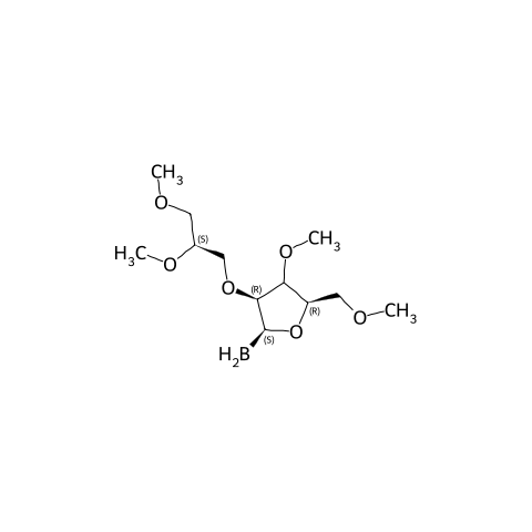 B[C@@H]1O[C@H](COC)C(OC)[C@@H]1OC[C@H](COC)OC